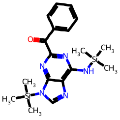 C[Si](C)(C)Nc1nc(C(=O)c2ccccc2)nc2c1ncn2[Si](C)(C)C